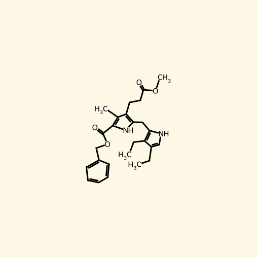 CCc1c[nH]c(Cc2[nH]c(C(=O)OCc3ccccc3)c(C)c2CCC(=O)OC)c1CC